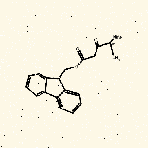 CN[C@@H](C)C(=O)CC(=O)OCC1c2ccccc2-c2ccccc21